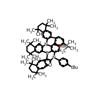 CC(C)(C)c1ccc(N2c3cc(C(C)(C)C)cc4c3B(c3cc5c(cc3N4c3cc4c(cc3-c3ccc(S(C)(C)C)cc3)C(C)(C)CCC4(C)C)C(C)(C)CCC5(C)C)c3c2oc2cc4c(cc32)C(C)(C)CCC4(C)C)cc1